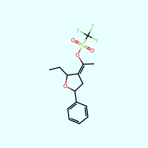 CCC1OC(c2ccccc2)C/C1=C(\C)OS(=O)(=O)C(F)(F)F